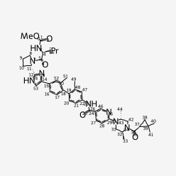 COC(=O)N[C@H](C(=O)N1CCC[C@H]1c1nc(-c2ccc(-c3ccc(NC(=O)c4ccc(N5C[C@H](C)N(C(=O)[C@H]6CC6(C)C)C[C@H]5C)nc4)cc3C)c(C)c2)c[nH]1)C(C)C